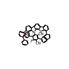 N#Cc1c(F)c(-c2ccccc2)c(-n2c3c(ccc4c5cccc(-c6ccccc6)c5sc43)c3ccc4c5cccc(-c6ccccc6)c5sc4c32)c(C#N)c1-c1ccccc1